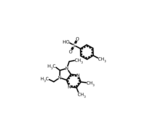 CCN1c2nc(C)c(C)nc2N(CC)C1C.Cc1ccc(S(=O)(=O)O)cc1